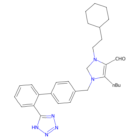 CCCCC1=C(C=O)N(CCC2CCCCC2)CN1Cc1ccc(-c2ccccc2-c2nnn[nH]2)cc1